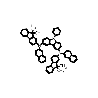 CC1(C)C2=CCCC=C2c2ccc(N(c3ccc4ccccc4c3)c3ccc4c(c3)c3cc(N(c5ccc6c(c5)C(C)(C)c5ccccc5-6)c5ccc6ccccc6c5)ccc3n4-c3ccccc3)cc21